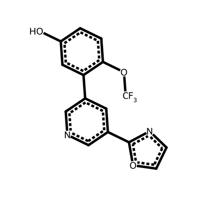 Oc1ccc(OC(F)(F)F)c(-c2cncc(-c3ncco3)c2)c1